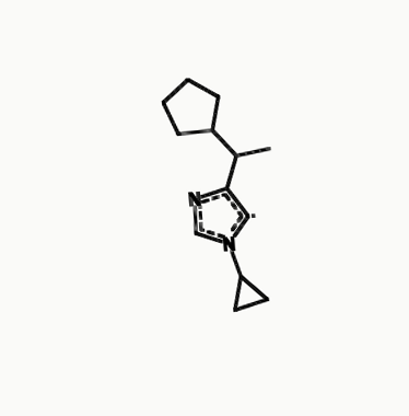 CC(c1[c]n(C2CC2)cn1)C1CCCC1